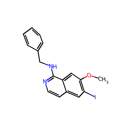 COc1cc2c(NCc3ccccc3)nccc2cc1I